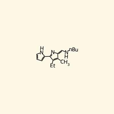 CCCCNC=C1N=C(c2ccc[nH]2)C(CC)=C1C